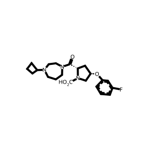 O=C([C@@H]1C[C@H](Oc2cccc(F)c2)CN1C(=O)O)N1CCCN(C2CCC2)CC1